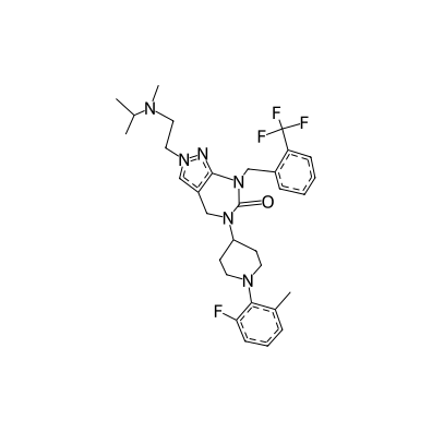 Cc1cccc(F)c1N1CCC(N2Cc3cn(CCN(C)C(C)C)nc3N(Cc3ccccc3C(F)(F)F)C2=O)CC1